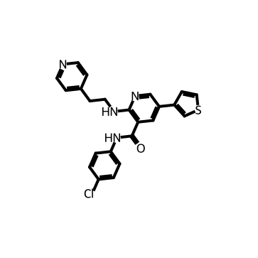 O=C(Nc1ccc(Cl)cc1)c1cc(-c2ccsc2)cnc1NCCc1ccncc1